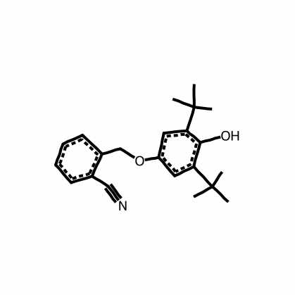 CC(C)(C)c1cc(OCc2ccccc2C#N)cc(C(C)(C)C)c1O